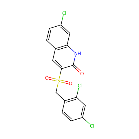 O=c1[nH]c2cc(Cl)ccc2cc1S(=O)(=O)Cc1ccc(Cl)cc1Cl